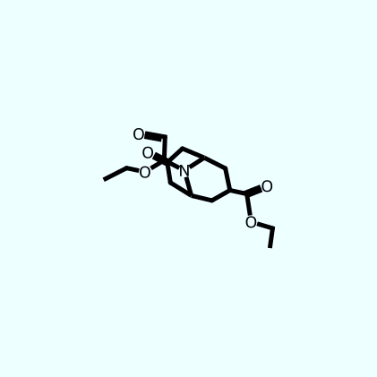 CCOC(=O)C1CC2CC(=O)CC(C1)N2C(C=O)OCC